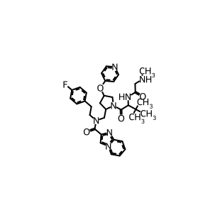 CNCC(=O)NC(C(=O)N1CC(Oc2ccncc2)CC1CN(CCc1ccc(F)cc1)C(=O)c1cn2ccccc2n1)C(C)(C)C